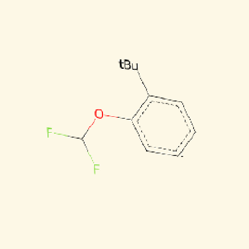 CC(C)(C)c1cc[c]cc1OC(F)F